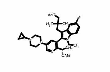 CO[C@@H](C)c1ncc(N2CCN(C3CC3)CC2)cc1-c1c(CC(C)(C)COC(C)=O)c2cc(Br)ccc2n1CC(F)(F)F